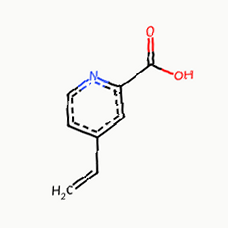 C=Cc1ccnc(C(=O)O)c1